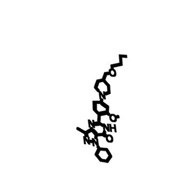 CCCCOCC1CCN(c2ccc(-c3nc4c(C)nn(C5CCCCC5)c4c(=O)[nH]3)c(OC)c2)CC1